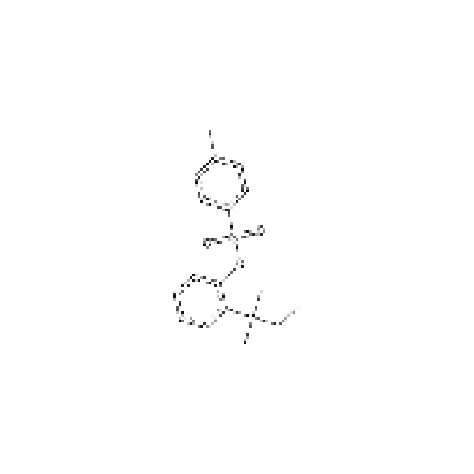 CCC(C)(C)c1ccccc1OS(=O)(=O)c1ccc(C)cc1